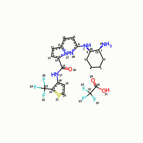 N[C@H]1CCCC[C@H]1Nc1ccc2ccc(C(=O)Nc3ccsc3C(F)(F)F)n2n1.O=C(O)C(F)(F)F